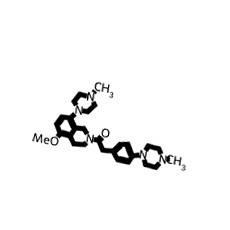 COc1ccc(N2CCN(C)CC2)c2c1CCN(C(=O)Cc1ccc(N3CCN(C)CC3)cc1)C2